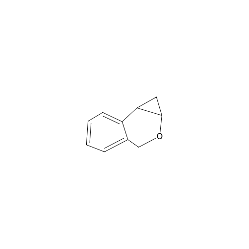 c1ccc2c(c1)COC1CC21